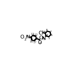 O=C(ON=C1CCCCC1Cl)c1ccc([N+](=O)[O-])cc1